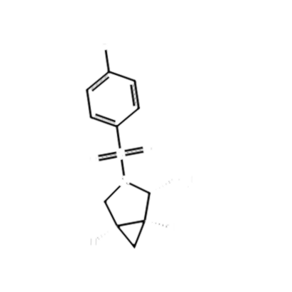 O=C(O)[C@@H]1[C@H]2C[C@H]2CN1S(=O)(=O)c1ccc(F)cc1